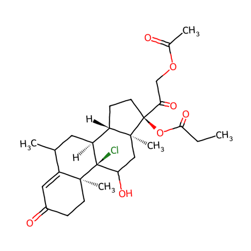 CCC(=O)O[C@]1(C(=O)COC(C)=O)CC[C@H]2[C@@H]3CC(C)C4=CC(=O)CC[C@]4(C)[C@@]3(Cl)C(O)C[C@@]21C